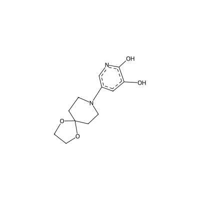 Oc1cc(N2CCC3(CC2)OCCO3)cnc1O